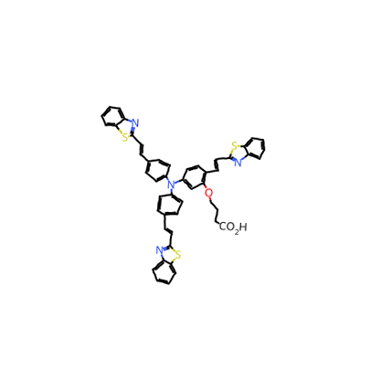 O=C(O)CCCOc1cc(N(c2ccc(/C=C/c3nc4ccccc4s3)cc2)c2ccc(/C=C/c3nc4ccccc4s3)cc2)ccc1/C=C/c1nc2ccccc2s1